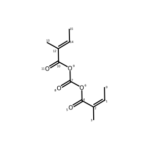 CC=C(C)C(=O)OC(=O)OC(=O)C(C)=CC